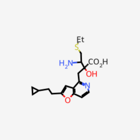 CCSCC(N)C(O)(Cc1nccc2oc(CCC3CC3)cc12)C(=O)O